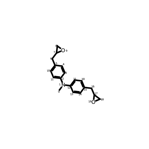 CN(c1ccc(CC2CO2)cc1)c1ccc(CC2CO2)cc1